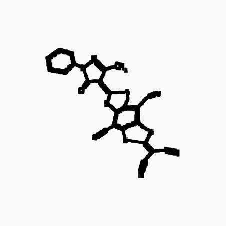 CC1=NN(c2ccccc2)C(=O)C1=C1Sc2c(C#N)c3c(c(C#N)c2S1)SC(=C(C#N)C#N)S3